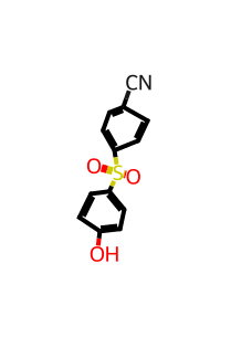 N#Cc1ccc(S(=O)(=O)c2ccc(O)cc2)cc1